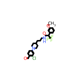 COc1cccc(C(C(=O)NCCCC2CCN(c3ccc(C=O)c(Cl)c3)CC2)C(F)(F)F)c1